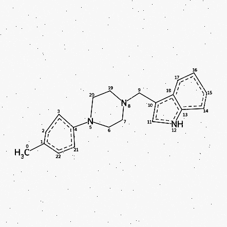 Cc1ccc(N2CCN(Cc3c[nH]c4ccccc34)CC2)cc1